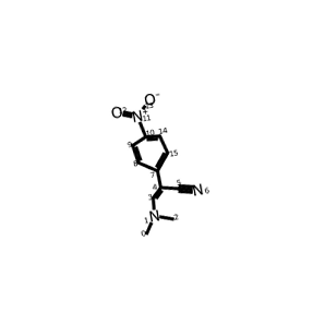 CN(C)C=C(C#N)c1ccc([N+](=O)[O-])cc1